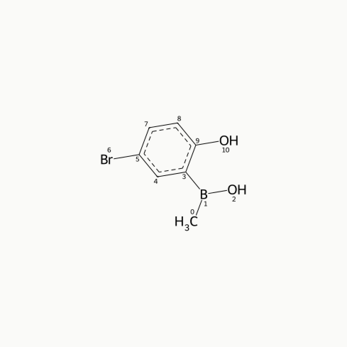 CB(O)c1cc(Br)ccc1O